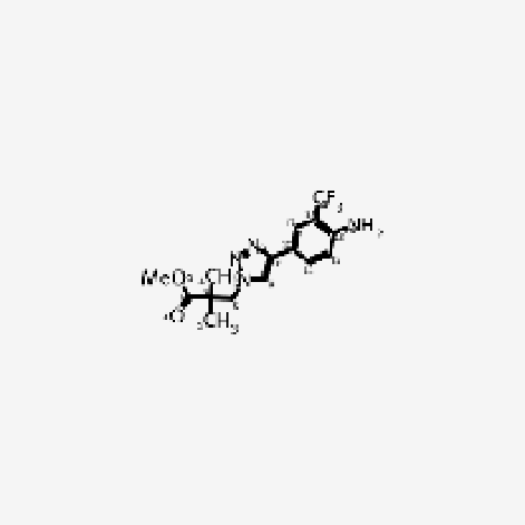 COC(=O)C(C)(C)Cn1cc(-c2ccc(N)c(C(F)(F)F)c2)nn1